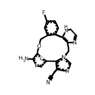 N#Cc1ncn2c1-c1cnc(N)c(c1)OCc1cc(F)ccc1C1=C(C2)N=CCN1